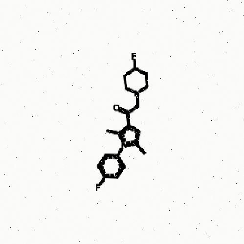 Cc1cc(C(=O)CN2CCC(F)CC2)c(C)n1-c1ccc(F)cc1